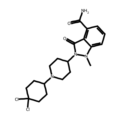 Cn1c2cccc(C(N)=O)c2c(=O)n1C1CCN(C2CCC(Cl)(Cl)CC2)CC1